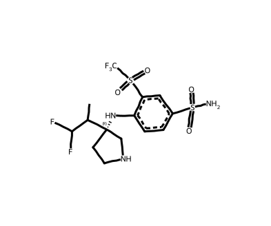 CC(C(F)F)[C@]1(Nc2ccc(S(N)(=O)=O)cc2S(=O)(=O)C(F)(F)F)CCNC1